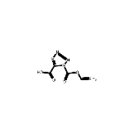 C=COC(=O)n1nnnc1C(=O)O